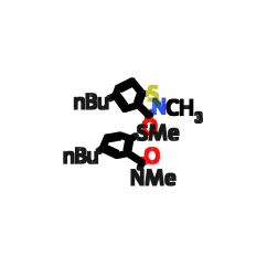 CCCCc1ccc(SC)c(C(=O)NC)c1.CCCCc1ccc2sn(C)c(=O)c2c1